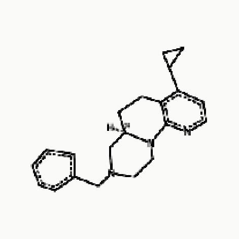 c1ccc(CN2CCN3c4nccc(C5CC5)c4CC[C@@H]3C2)cc1